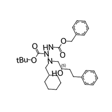 CC(C)(C)OC(=O)N(NC(=O)OCc1ccccc1)N(CC1CCCCC1)C[C@@H](O)CCc1ccccc1